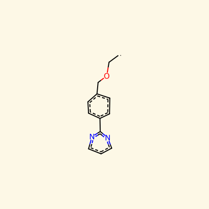 [CH2]COCc1ccc(-c2ncccn2)cc1